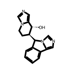 O[C@H]1c2cncn2CC[C@@H]1C1c2ccccc2-c2cncn21